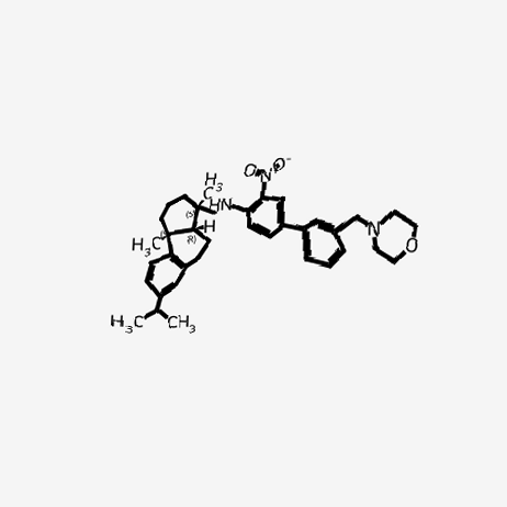 CC(C)c1ccc2c(c1)CC[C@H]1[C@@](C)(CNc3ccc(-c4cccc(CN5CCOCC5)c4)cc3[N+](=O)[O-])CCC[C@]21C